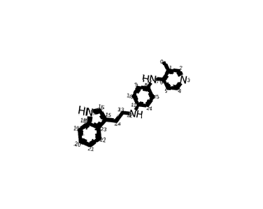 Cc1cnccc1Nc1ccc(NCCc2c[nH]c3ccccc23)cc1